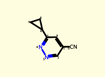 N#Cc1cnnc(C2CC2)c1